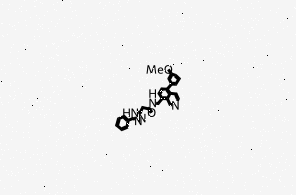 COc1cccc(-c2ccc(CNC(=O)Cc3nnc(-c4ccccc4)[nH]3)c3cnccc23)c1